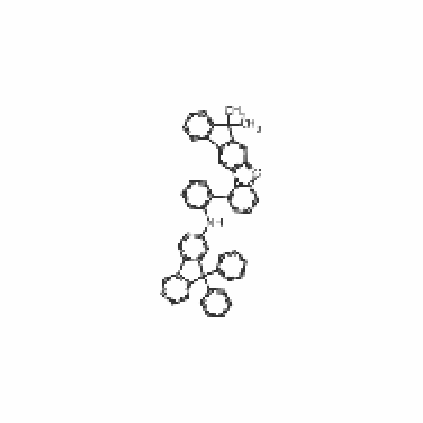 CC1(C)c2ccccc2-c2cc3c(cc21)oc1cccc(-c2ccccc2Nc2ccc4c(c2)C(c2ccccc2)(c2ccccc2)c2ccccc2-4)c13